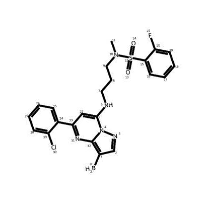 Bc1cnn2c(NCCCN(C)S(=O)(=O)c3ccccc3F)cc(-c3ccccc3Cl)nc12